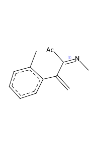 C=C(/C(=N\C)C(C)=O)c1ccccc1C